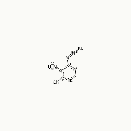 [N-]=[N+]=Nc1ccnc(Cl)c1[N+](=O)[O-]